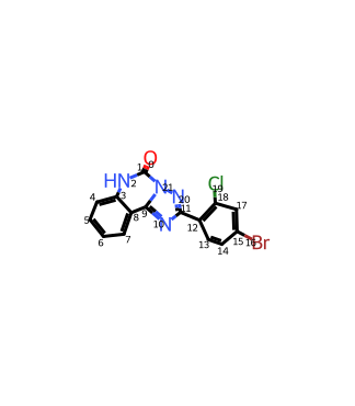 O=c1[nH]c2ccccc2c2nc(-c3ccc(Br)cc3Cl)nn12